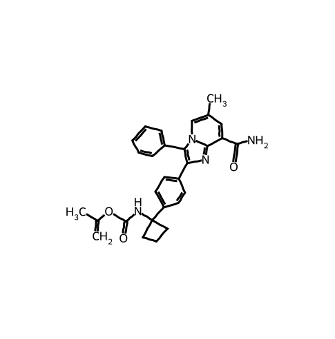 C=C(C)OC(=O)NC1(c2ccc(-c3nc4c(C(N)=O)cc(C)cn4c3-c3ccccc3)cc2)CCC1